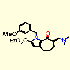 CCOC(=O)c1cc2c(n1Cc1cccc(OC)c1)C(=O)C(=CN(C)C)CCC2